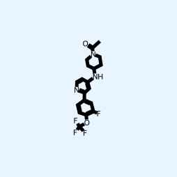 CC(=O)N1CCC(Nc2ccnc(-c3ccc(OC(F)(F)F)c(F)c3)c2)CC1